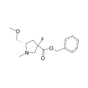 COC[C@@H]1CC(F)(C(=O)OCc2ccccc2)CN1C